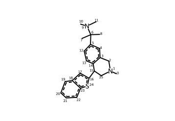 CN1Cc2cc(C(C)(C)N(C)C)ccc2C(c2cc3ccccc3s2)C1